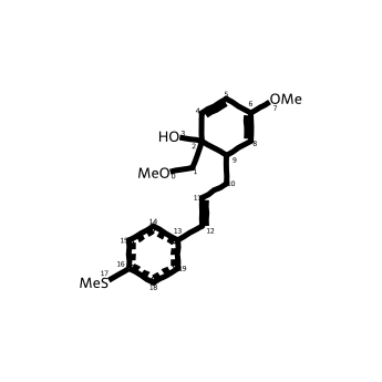 COCC1(O)C=CC(OC)=CC1C/C=C/c1ccc(SC)cc1